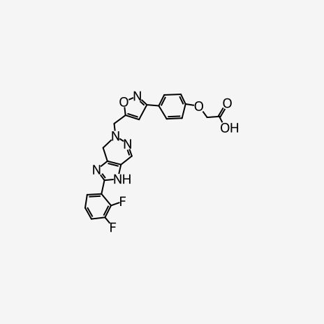 O=C(O)COc1ccc(-c2cc(CN3Cc4nc(-c5cccc(F)c5F)[nH]c4C=N3)on2)cc1